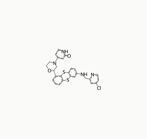 O=c1cc(N2CCOC(c3cccc4c3Sc3ccc(NCc5cc(Cl)ccn5)cc3S4)C2)cc[nH]1